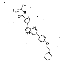 CC(C)C(NC(=O)c1cc(-c2cnn3cc(-c4ccc(OCCN5CCCCC5)cc4)cnc23)cs1)C(F)(F)F